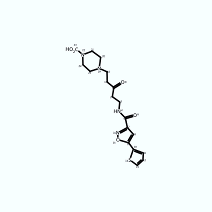 O=C(CCNC(=O)c1cc(-c2cccs2)on1)CCN1CCN(C(=O)O)CC1